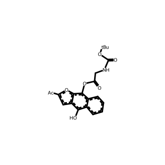 CC(=O)c1cc2c(O)c3ccccc3c(OC(=O)CNC(=O)OC(C)(C)C)c2o1